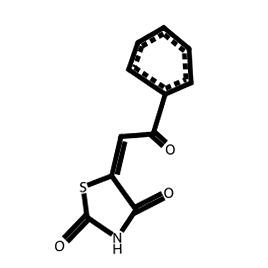 O=C1NC(=O)C(=CC(=O)c2ccccc2)S1